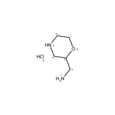 Cl.NCC1CNCCO1